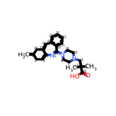 C=C1CC=C2N=C(N3CCN(CC(C)(C)C(=O)O)CC3)c3ccccc3C=C2C1